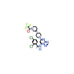 C[C@@H](Nc1cc(N2CCC([C@H]3CCCN(C(=O)C(F)(F)F)C3)CC2)nc2ncnn12)c1ccc(Cl)cc1Cl